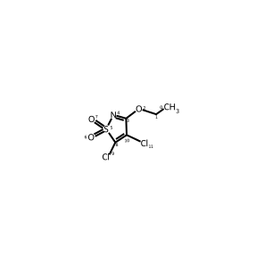 CCOC1=NS(=O)(=O)C(Cl)=C1Cl